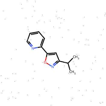 CC(C)c1cc(-c2ccccn2)on1